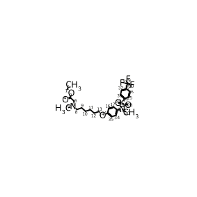 CCOC(=O)CN(C)CCCCCCOc1ccc(N(C)S(=O)(=O)c2ccc(C(F)(F)F)cc2)cc1